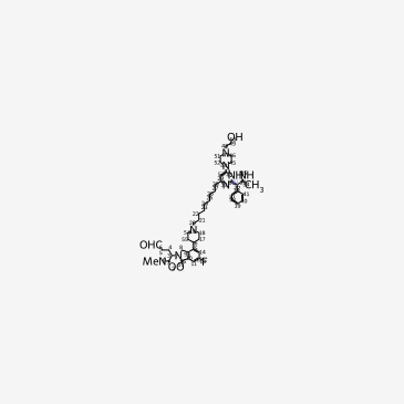 CNC(=O)C(CCC=O)N1Cc2c(cc(F)cc2C2CCN(CCCCCCCCCC3=N/C(=C(/C(C)=N)c4ccccc4)NC(N4CCN(CCO)CC4)=C3)CC2)C1=O